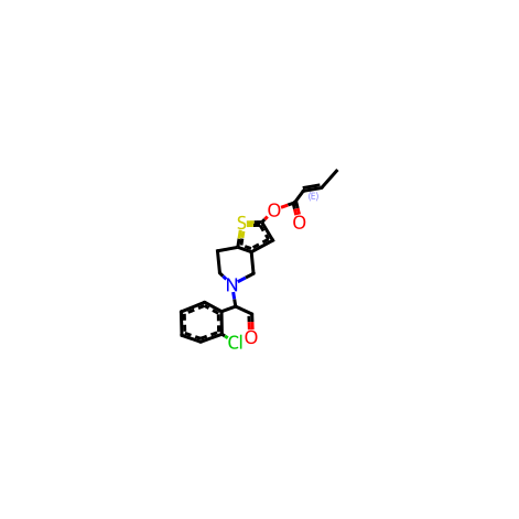 C/C=C/C(=O)Oc1cc2c(s1)CCN(C(C=O)c1ccccc1Cl)C2